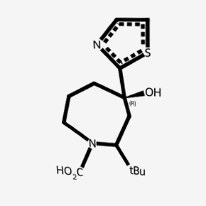 CC(C)(C)C1C[C@@](O)(c2nccs2)CCCN1C(=O)O